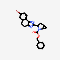 O=C(OCc1ccccc1)N1C(c2nc3c([nH]2)-c2ccc(Br)cc2CC3)CC2CC21